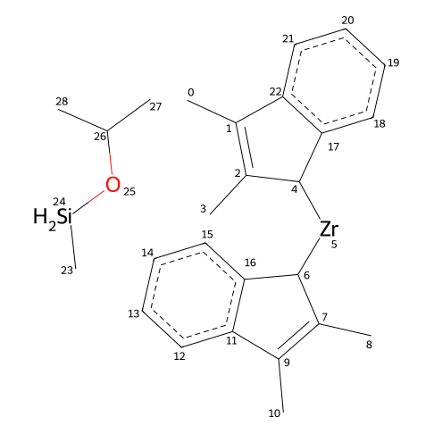 CC1=C(C)[CH]([Zr][CH]2C(C)=C(C)c3ccccc32)c2ccccc21.C[SiH2]OC(C)C